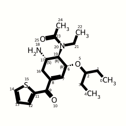 CCC(CC)O[C@@H]1C=C(C(=O)c2cccs2)C[C@H](N)[C@H]1N(CC)C(C)=O